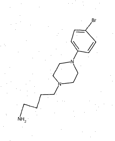 NCCCCN1CCN(c2ccc(Br)cc2)CC1